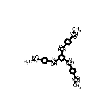 Cc1noc(-c2ccc(-c3nc(-c4cc(-c5noc(-c6ccc(-c7nc(C)no7)cc6)n5)cc(-c5noc(-c6ccc(-c7nc(C)no7)cc6)n5)c4)no3)cc2)n1